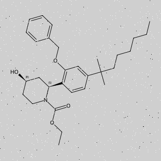 CCCCCCC(C)(C)c1ccc([C@@H]2C[C@H](O)CCN2C(=O)OCC)c(OCc2ccccc2)c1